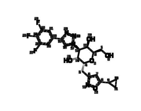 OC[C@H]1O[C@H](Cc2cc(C3CC3)on2)[C@H](O)[C@@H](n2cc(-c3cc(F)c(F)c(F)c3)nn2)[C@H]1O